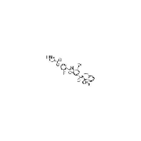 C[C@@H]1c2ccccc2CCN1C(=O)c1cc(C2CC2)c2nc(-c3ccc(OC(=O)C4CCNC4)cc3F)oc2c1